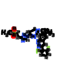 CC1(C)C2CC[C@]1(c1nccc(-n3cnc(CCS(C)(=O)=O)n3)n1)c1nnc(-c3c(F)cccc3F)cc12